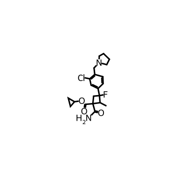 CC1C(C(N)=O)(C(=O)OC2CC2)CC1(F)c1ccc(CN2CCCC2)c(Cl)c1